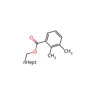 CCCCCCCCOC(=O)c1cccc(C)c1C